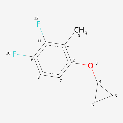 Cc1c(OC2CC2)ccc(F)c1F